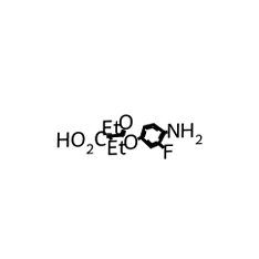 CCC(CC)(C(=O)O)C(=O)Oc1ccc(N)c(F)c1